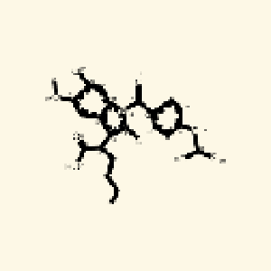 CCCCC(C(=O)O)c1c(C)n(C(=O)c2ccc(OC(F)F)cc2)c2cc(Cl)c(OC)cc12